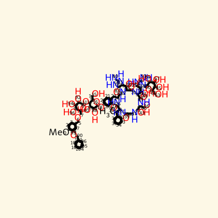 COc1ccc(COCC2OC(OC3C(CO)OC(Oc4ccc(CC5NC(=O)C(C(C)c6ccccc6)NC(=O)CNC(=O)C(CO)NC(=O)C(C(O)C6CNC(=N)N6C6OC(CO)C(O)C(O)C6O)NC(=O)C(C(O)C6CNC(=N)N6)NC5=O)cc4)C(O)C3O)C(O)C(O)C2O)cc1OCc1ccccc1